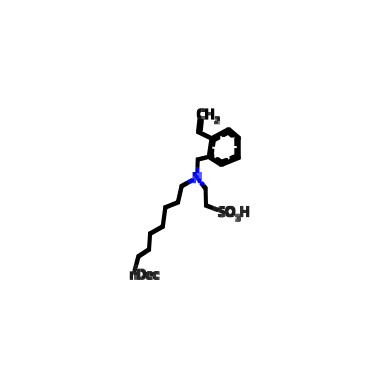 C=Cc1ccccc1CN(CCCCCCCCCCCCCCCCC)CCS(=O)(=O)O